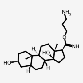 C[C@]12CC[C@H](O)C[C@H]1CC[C@@H]1[C@@H]2CC[C@]2(C)[C@@H](C(=N)OCCCN)CC[C@]12O